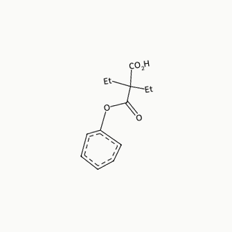 CCC(CC)(C(=O)O)C(=O)Oc1ccccc1